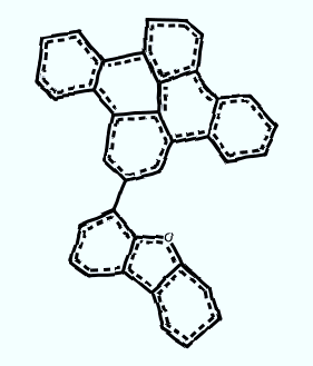 c1ccc2c(c1)oc1c(-c3cc4c5ccccc5c5cccc6c7ccccc7c(c3)c4c56)cccc12